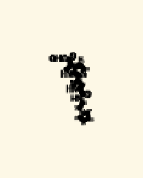 O=CC(=O)c1c[nH]c2c(-c3cc(C(=O)NCCN4CCCC4)[nH]n3)ncc(F)c12